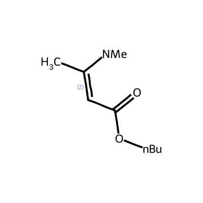 CCCCOC(=O)/C=C(/C)NC